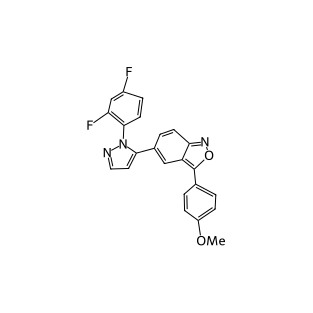 COc1ccc(-c2onc3ccc(-c4ccnn4-c4ccc(F)cc4F)cc23)cc1